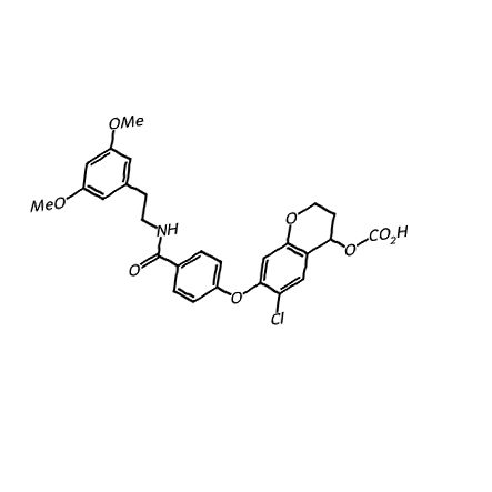 COc1cc(CCNC(=O)c2ccc(Oc3cc4c(cc3Cl)C(OC(=O)O)CCO4)cc2)cc(OC)c1